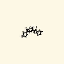 Cc1cnc2nc(C3=C[C@H]4C(N5CCNCC5)=CC4OC3O)cn2c1